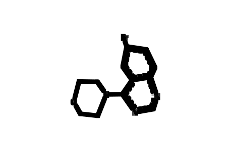 Brc1ccc2ncnc(N3CCOCC3)c2c1